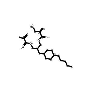 C=C(C)C(=O)OCC(COC(=O)C(=C)CO)CC1CCC(CCCCC)CC1